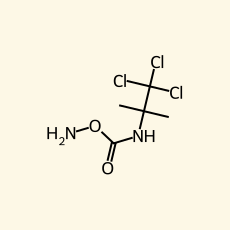 CC(C)(NC(=O)ON)C(Cl)(Cl)Cl